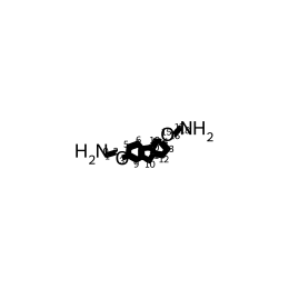 NCCOc1ccc2c(c1)Cc1ccc(OCCN)cc1-2